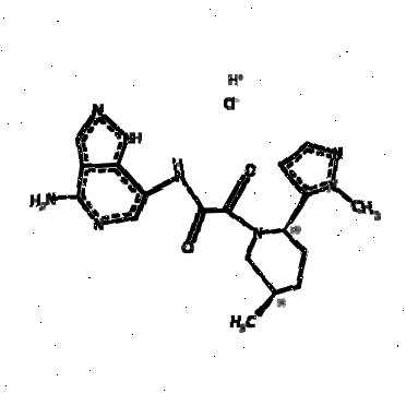 C[C@@H]1CC[C@H](c2ccnn2C)N(C(=O)C(=O)Nc2cnc(N)c3cn[nH]c23)C1.[Cl-].[H+]